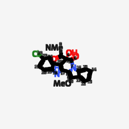 CNC(=O)[C@@]1(O)C(=O)n2c(c(OC)c3ccccc32)-c2[nH]c3ccc(Cl)cc3c21